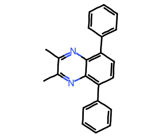 Cc1nc2c(-c3ccccc3)ccc(-c3ccccc3)c2nc1C